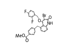 COC(=O)c1ccc(Cc2cccc3[nH]c(=O)c(Br)c(OCc4ccc(F)cc4F)c23)cc1